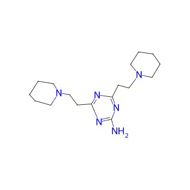 Nc1nc(CCN2CCCCC2)nc(CCN2CCCCC2)n1